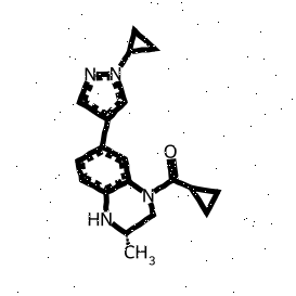 C[C@H]1CN(C(=O)C2CC2)c2cc(-c3cnn(C4CC4)c3)ccc2N1